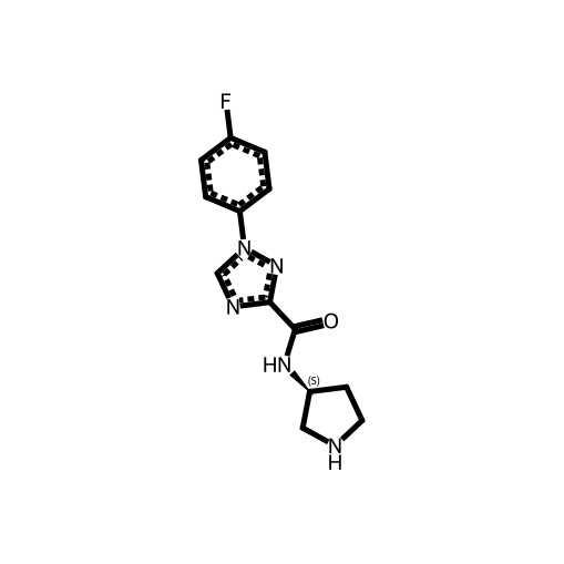 O=C(N[C@H]1CCNC1)c1ncn(-c2ccc(F)cc2)n1